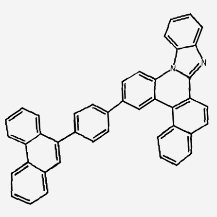 c1ccc2c(c1)cc(-c1ccc(-c3ccc4c(c3)c3c5ccccc5ccc3c3nc5ccccc5n43)cc1)c1ccccc12